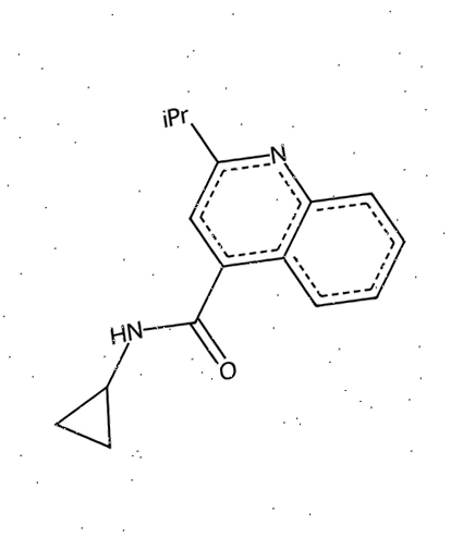 CC(C)c1cc(C(=O)NC2CC2)c2ccccc2n1